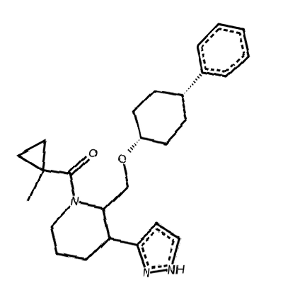 CC1(C(=O)N2CCCC(c3cc[nH]n3)C2CO[C@H]2CC[C@@H](c3ccccc3)CC2)CC1